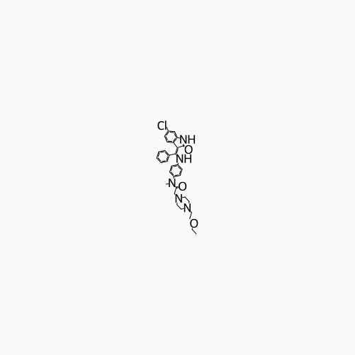 CCOCCN1CCN(CC(=O)N(C)c2ccc(N/C(=C3\C(=O)Nc4cc(Cl)ccc43)c3ccccc3)cc2)CC1